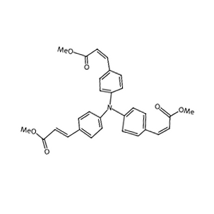 COC(=O)/C=C\c1ccc(N(c2ccc(/C=C\C(=O)OC)cc2)c2ccc(/C=C/C(=O)OC)cc2)cc1